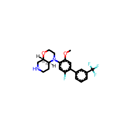 COc1cc(-c2cccc(C(F)(F)F)c2)c(F)cc1N1CCO[C@H]2CNCC[C@@H]21